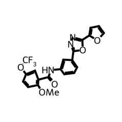 COc1ccc(OC(F)(F)F)cc1C(=O)Nc1cccc(-c2nnc(-c3ccco3)o2)c1